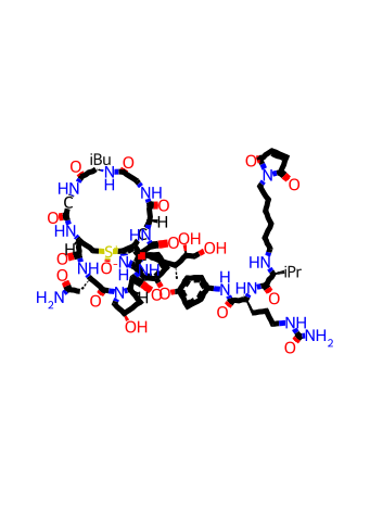 CC[C@H](C)[C@@H]1NC(=O)CNC(=O)[C@H]2Cc3c([nH]c4cc(Oc5ccc(NC(=O)[C@H](CCCNC(N)=O)NC(=O)[C@@H](NCCCCCCN6C(=O)C=CC6=O)C(C)C)cc5)ccc34)[S+]([O-])C[C@H](NC(=O)CNC1=O)C(=O)N[C@@H](CC(N)=O)C(=O)N1C[C@H](O)C[C@H]1C(=O)N[C@@H]([C@@H](C)[C@@H](O)CO)C(=O)N2